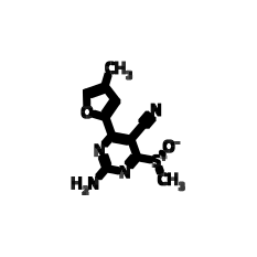 Cc1coc(-c2nc(N)nc([S+](C)[O-])c2C#N)c1